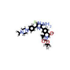 CC(C)N1CCN(c2ccc(-c3nc(-c4ccc5c(c4)C4(CC4)N(C(=O)OC(C)(C)C)CC5=O)c(N)nc3F)cc2)CC1